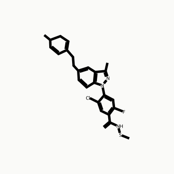 C=C(NSC)c1cc(Cl)c(-n2nc(C)c3cc(CCC4=CCC(C)C=C4)ccc32)cc1F